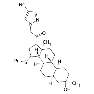 CC(C)SC1C[C@H](C(=O)Cn2cc(C#N)cn2)[C@@]2(C)CC[C@H]3[C@@H](CC[C@@H]4C[C@](C)(O)CC[C@@H]43)[C@H]12